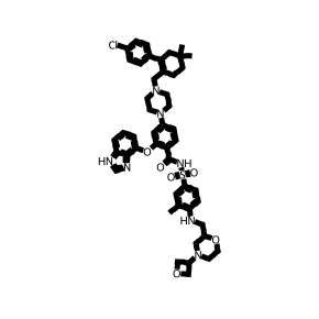 Cc1cc(S(=O)(=O)NC(=O)c2ccc(N3CCN(CC4=C(c5ccc(Cl)cc5)CC(C)(C)CC4)CC3)cc2Oc2cccc3[nH]cnc23)ccc1NCC1CN(C2COC2)CCO1